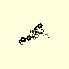 CC(C)(Cc1ccccc1)N[C@@H](CCC(N)=O)C(=O)OC(=O)c1ccc(-c2ccc3c(c2)OCC3)cc1